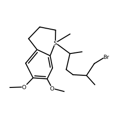 COc1cc2c(cc1OC)S(C)(C(C)CCC(C)CBr)CCC2